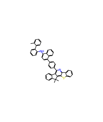 Cc1ccccc1-c1ccccc1Nc1ccc(-c2ccc(-c3nc4c(sc5ccccc54)c4c3-c3ccccc3C4(C)C)cc2)c2ccccc12